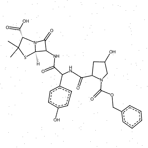 CC1(C)S[C@@H]2C(NC(=O)C(NC(=O)C3CC(O)CN3C(=O)OCc3ccccc3)c3ccc(O)cc3)C(=O)N2[C@H]1C(=O)O